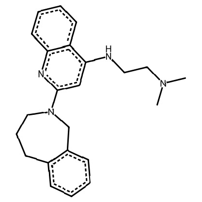 CN(C)CCNc1cc(N2CCCc3ccccc3C2)nc2ccccc12